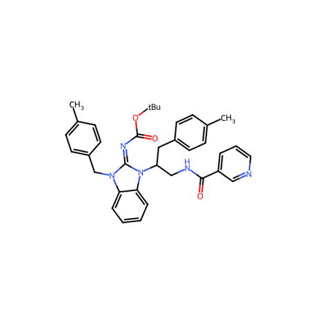 Cc1ccc(CC(CNC(=O)c2cccnc2)n2c(=NC(=O)OC(C)(C)C)n(Cc3ccc(C)cc3)c3ccccc32)cc1